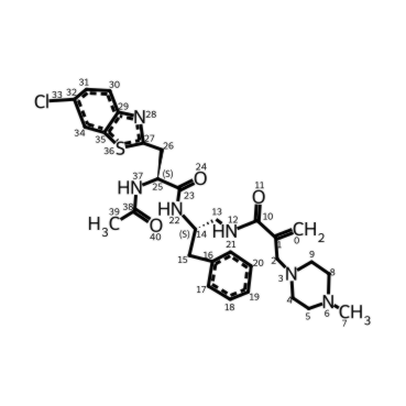 C=C(CN1CCN(C)CC1)C(=O)NC[C@H](Cc1ccccc1)NC(=O)[C@H](Cc1nc2ccc(Cl)cc2s1)NC(C)=O